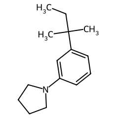 CCC(C)(C)c1cccc(N2CCCC2)c1